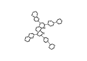 c1ccc(-c2ccc(-c3cc(-c4ccc5ccccc5c4)c4ccc5c(-c6ccc7ccccc7c6)cc(-c6ccc(-c7ccccc7)cc6)nc5c4n3)cc2)cc1